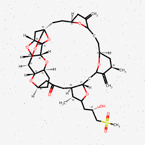 C=C1C[C@@H]2CC[C@@]34C[C@H]5O[C@H]6[C@@H](O3)[C@H]3O[C@H](CC[C@@H]3O[C@H]6[C@H]5O4)CC(=O)C[C@H]3[C@H](CC4O[C@@H](CCC1O2)C[C@@H](C)C4=C)OC(C[C@H](O)CS(C)(=O)=O)[C@@H]3C